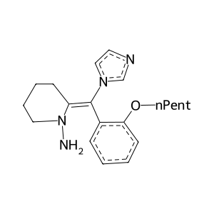 CCCCCOc1ccccc1C(=C1CCCCN1N)n1ccnc1